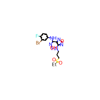 CCS(=O)(=O)CCCNc1nonc1C(=NO)Nc1ccc(F)c(Br)c1